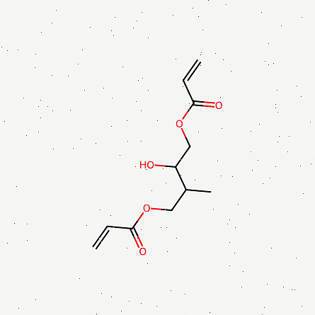 C=CC(=O)OCC(C)C(O)COC(=O)C=C